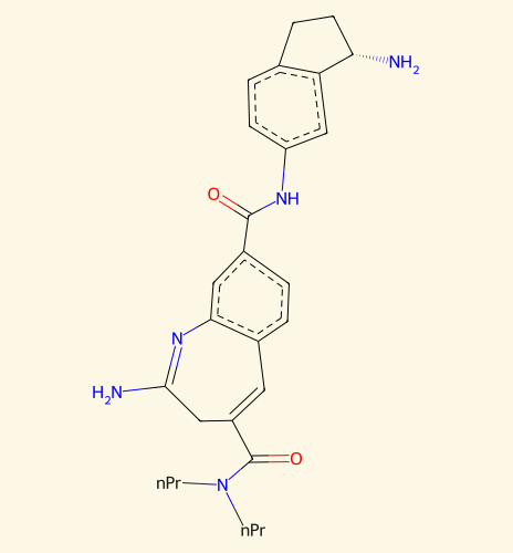 CCCN(CCC)C(=O)C1=Cc2ccc(C(=O)Nc3ccc4c(c3)[C@@H](N)CC4)cc2N=C(N)C1